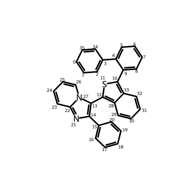 c1ccc(-c2ccccc2-c2sc(-c3c(-c4ccccc4)nc4ccccn34)c3ccccc23)cc1